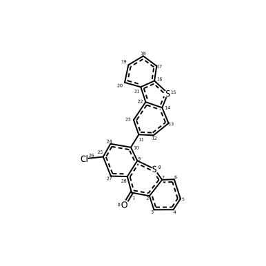 O=c1c2ccccc2sc2c(-c3ccc4sc5ccccc5c4c3)cc(Cl)cc12